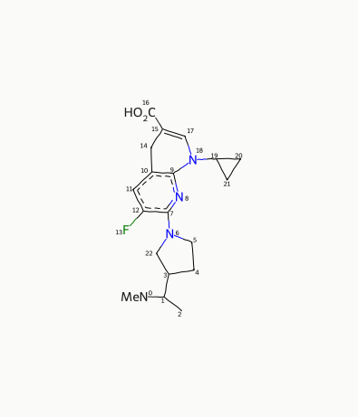 CNC(C)C1CCN(c2nc3c(cc2F)CC(C(=O)O)=CN3C2CC2)C1